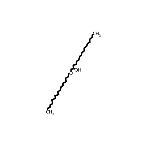 CCCCCCCCCCCCCCCCCCOCC(O)CCCCCCCCCCCCCCCC